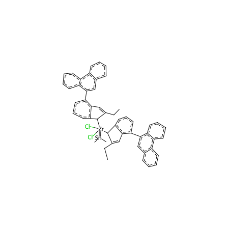 CCC1=Cc2c(-c3cc4ccccc4c4ccccc34)cccc2[CH]1[Zr]([Cl])([Cl])([CH]1C(CC)=Cc2c(-c3cc4ccccc4c4ccccc34)cccc21)=[Sn]([CH3])[CH3]